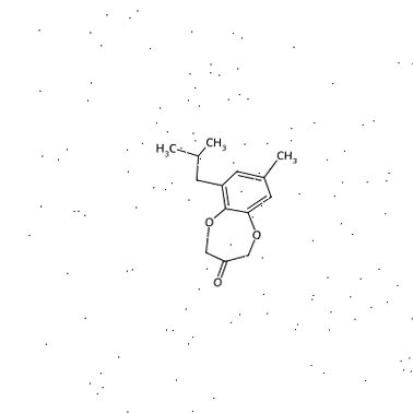 Cc1cc(CC(C)C)c2c(c1)OCC(=O)CO2